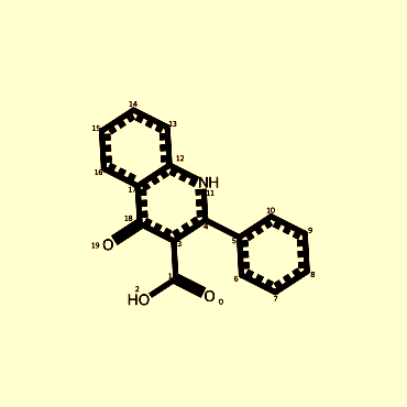 O=C(O)c1c(-c2ccccc2)[nH]c2ccccc2c1=O